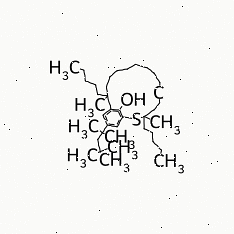 CCCCCC1(C)CCCCCCCCCCCC(C)(CCCCC)c2cc(C(C)(C)CC(C)(C)C)cc(c2O)S1